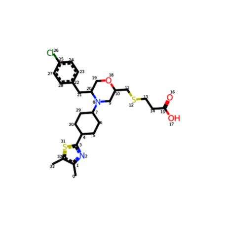 Cc1nc(C2CCC(N3CC(CSCCC(=O)O)OCC3Cc3ccc(Cl)cc3)CC2)sc1C